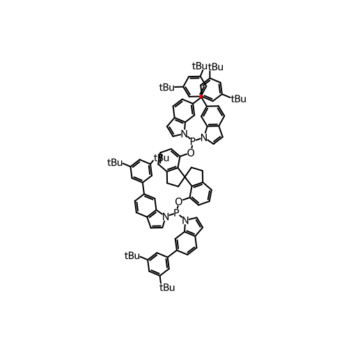 CC(C)(C)c1cc(-c2ccc3ccn(P(Oc4cccc5c4C4(CC5)CCc5cccc(OP(n6ccc7ccc(-c8cc(C(C)(C)C)cc(C(C)(C)C)c8)cc76)n6ccc7ccc(-c8cc(C(C)(C)C)cc(C(C)(C)C)c8)cc76)c54)n4ccc5ccc(-c6cc(C(C)(C)C)cc(C(C)(C)C)c6)cc54)c3c2)cc(C(C)(C)C)c1